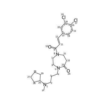 CN(CCCN1CCN(C(=O)C=Cc2ccc(Cl)c(Cl)c2)CCC1=O)C1CCCC1